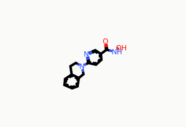 O=C(NO)c1ccc(N2CCc3ccccc3C2)nc1